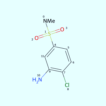 CNS(=O)(=O)c1ccc(Cl)c(N)c1